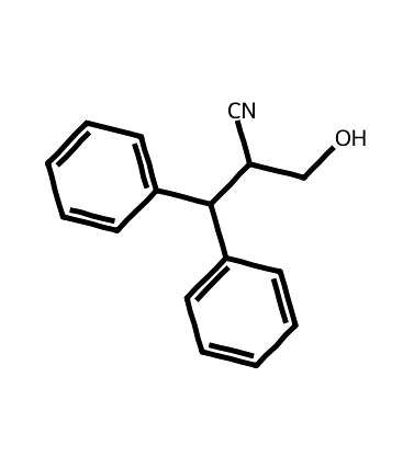 N#CC(CO)C(c1ccccc1)c1ccccc1